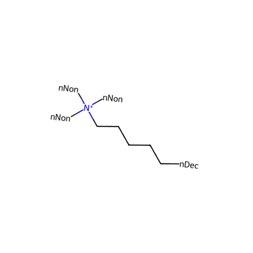 CCCCCCCCCCCCCCC[N+](CCCCCCCCC)(CCCCCCCCC)CCCCCCCCC